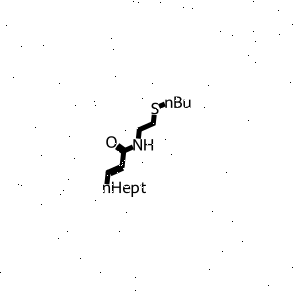 CCCCCCCC=CC(=O)NCCSCCCC